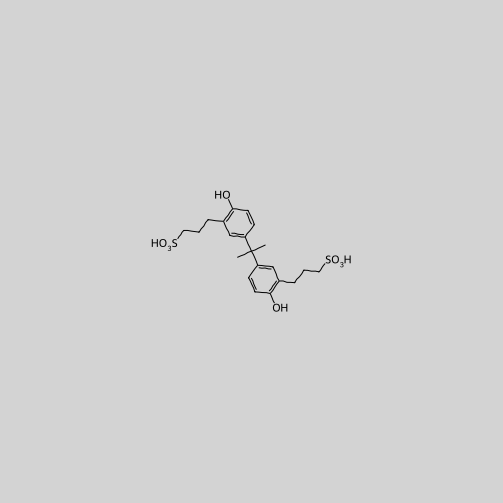 CC(C)(c1ccc(O)c(CCCS(=O)(=O)O)c1)c1ccc(O)c(CCCS(=O)(=O)O)c1